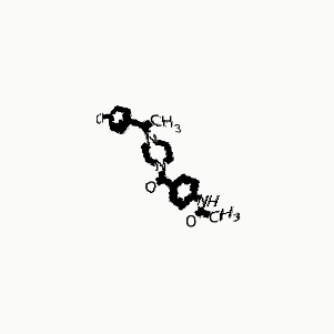 CC(=O)Nc1ccc(C(=O)N2CCN(C(C)c3ccc(Cl)cc3)CC2)cc1